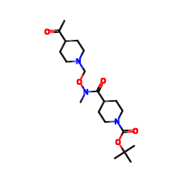 CC(=O)C1CCN(CON(C)C(=O)C2CCN(C(=O)OC(C)(C)C)CC2)CC1